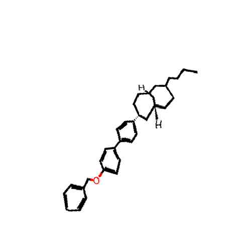 CCCCC1CC[C@@H]2C[C@H](c3ccc(-c4ccc(OCc5ccccc5)cc4)cc3)CC[C@@H]2C1